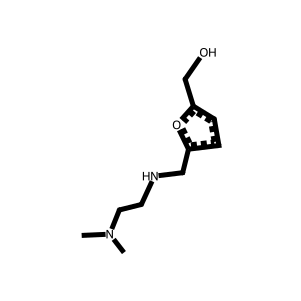 CN(C)CCNCc1ccc(CO)o1